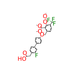 COCOc1c(C(F)(F)F)ccc(COc2ccc(-c3ccc(CC(=O)O)c(F)c3)cc2)c1C(OC)OC